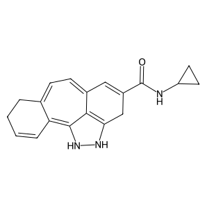 O=C(NC1CC1)C1=CC2=CC=C3CCC=CC3=C3NNC(=C23)C1